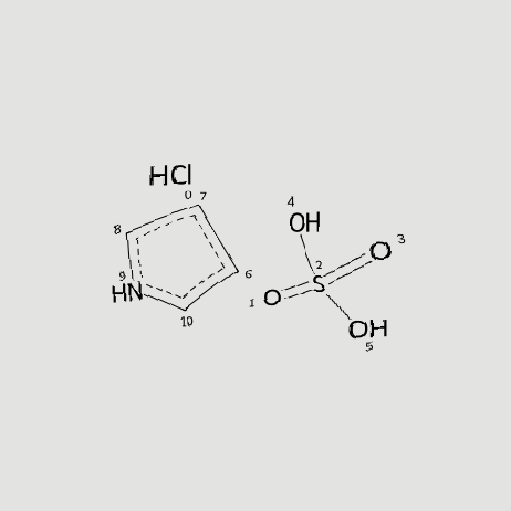 Cl.O=S(=O)(O)O.c1cc[nH]c1